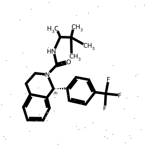 CC(NC(=O)N1CCc2ccccc2[C@H]1c1ccc(C(F)(F)F)cc1)C(C)(C)C